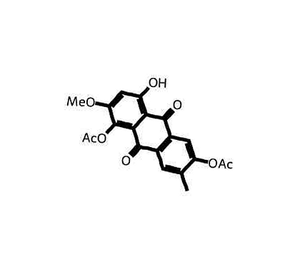 COc1cc(O)c2c(c1OC(C)=O)C(=O)c1cc(C)c(OC(C)=O)cc1C2=O